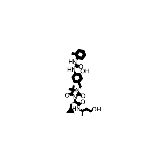 Cc1ccccc1NC(=O)Nc1ccc(CN2C(=O)N([C@@H](CC3CC3)C(=O)N[C@H](C)CCO)C(=O)C2(C)C)cc1O